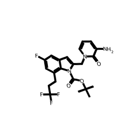 CC(C)(C)OC(=O)n1c(Cn2cccc(N)c2=O)cc2cc(F)cc(CCC(F)(F)F)c21